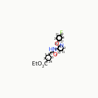 CCOC(=O)C1CCC(CC(=O)Nc2cccnc2Oc2ccc(F)cc2)CC1